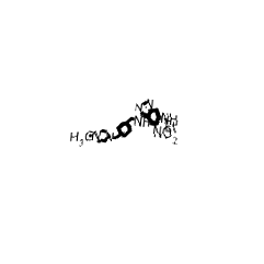 CCNc1cc2ncnc(NCc3ccc(CN4CCN(C)CC4)cc3)c2cc1[N+](=O)[O-]